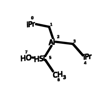 CC(C)[CH2][Al]([CH2]C(C)C)[SiH](C)O